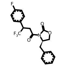 O=C(CC(c1ccc(F)cc1)C(F)(F)F)N1C(=O)OC[C@H]1Cc1ccccc1